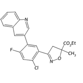 CCOC(=O)C1(C)CC(c2cc(-c3cnc4ccccc4c3)c(F)cc2Cl)=NO1